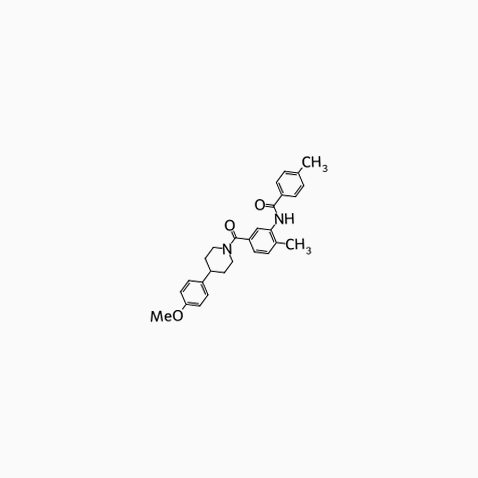 COc1ccc(C2CCN(C(=O)c3ccc(C)c(NC(=O)c4ccc(C)cc4)c3)CC2)cc1